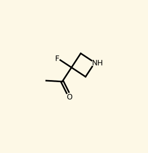 CC(=O)C1(F)CNC1